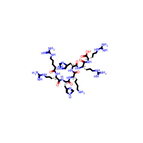 N=C(N)NCCC[C@H](NC(=O)[C@H](CCCNC(=N)N)NC(=O)[C@H](Cc1c[nH]cn1)NC(=O)[C@H](CCCCN)NC(=O)[C@H](Cc1c[nH]cn1)NC(=O)[C@H](CCCNC(=N)N)NC(=O)[C@@H](N)CCCNC(=N)N)C(=O)O